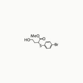 COC(=O)C(CCO)Sc1ccc(Br)cc1